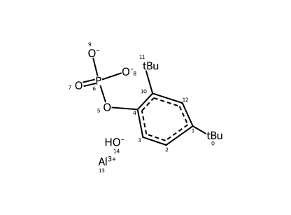 CC(C)(C)c1ccc(OP(=O)([O-])[O-])c(C(C)(C)C)c1.[Al+3].[OH-]